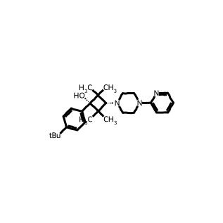 CC(C)(C)c1ccc([C@]2(O)C(C)(C)[C@@H](N3CCN(c4ccccn4)CC3)C2(C)C)cc1